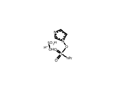 CCCS(=O)(=O)On1ccnc1.O=S(=O)(O)O.[H+]